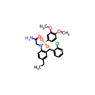 CCc1ccc(N(CC(N)=O)S(=O)(=O)c2ccc(OC)c(OC)c2)c(Cc2ccccc2Cl)c1